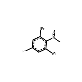 CC(C)c1cc(C(C)C)c([SiH](C)C)c(C(C)C)c1